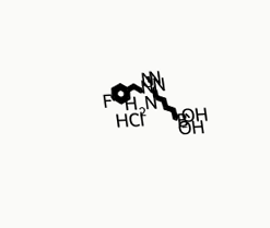 Cl.NC(CCCCB(O)O)c1nnnn1CCc1ccc(F)cc1